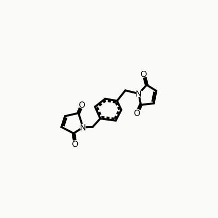 O=C1C=CC(=O)N1Cc1ccc(CN2C(=O)C=CC2=O)cc1